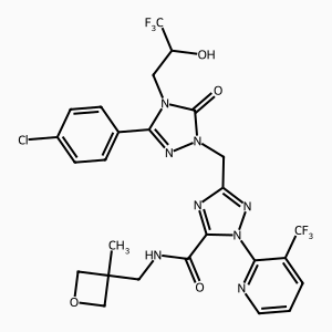 CC1(CNC(=O)c2nc(Cn3nc(-c4ccc(Cl)cc4)n(CC(O)C(F)(F)F)c3=O)nn2-c2ncccc2C(F)(F)F)COC1